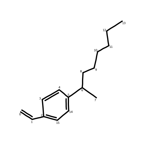 C=Cc1ccc(C(C)CCCCCC)cc1